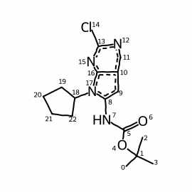 CC(C)(C)OC(=O)Nc1cc2cnc(Cl)nc2n1C1CCCC1